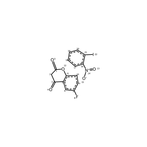 O=C1CC(=O)c2cc(F)ccc2O1.O=[N+]([O-])c1ccccc1I